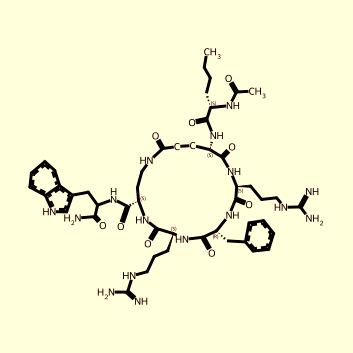 CCCC[C@H](NC(C)=O)C(=O)N[C@H]1CCC(=O)NCC[C@@H](C(=O)NC(Cc2c[nH]c3ccccc23)C(N)=O)NC(=O)[C@H](CCCNC(=N)N)NC(=O)[C@@H](Cc2ccccc2)NC(=O)[C@H](CCCNC(=N)N)NC1=O